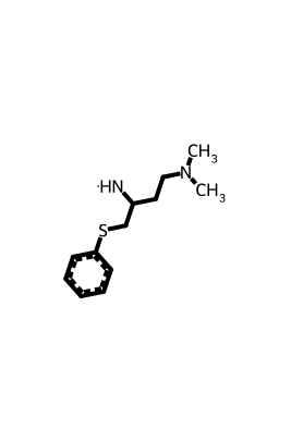 CN(C)CCC([NH])CSc1ccccc1